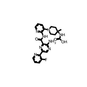 CC1(NC(=O)O)CCN(c2cccnc2NC(=O)c2nc(-c3ncccc3F)cnc2N)CC1